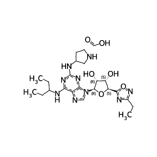 CCc1noc([C@H]2O[C@@H](n3cnc4c(NC(CC)CC)nc(NC5CCNC5)nc43)[C@H](O)[C@@H]2O)n1.O=CO